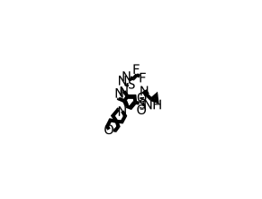 N#CC1(NS(=O)(=O)c2cc(N3CCC4(CCOCC4)CC3)c3cnn(-c4nnc(C(F)F)s4)c3c2)CC1